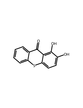 O=c1c2ccccc2sc2ccc(O)c(O)c12